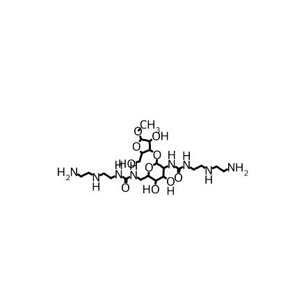 COC1OC(CO)C(OC2OC(CNC(=O)NCCNCCN)C(O)C(O)C2NC(=O)NCCNCCN)C1O